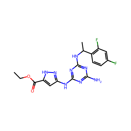 CCOC(=O)c1cc(Nc2nc(N)nc(NC(C)c3ccc(F)cc3F)n2)n[nH]1